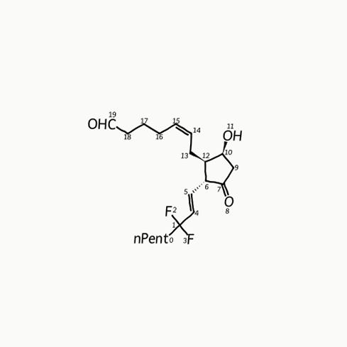 CCCCCC(F)(F)/C=C/[C@H]1C(=O)C[C@H](O)[C@@H]1C/C=C\CCCC=O